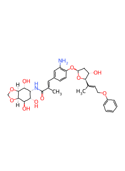 CC(=Cc1ccc(O[C@H]2C[C@H](O)[C@@H](C(C)=CCOc3ccccc3)O2)c(N)c1)C(=O)N[C@@H]1[C@H](O)[C@@H](O)[C@H]2OCO[C@H]2[C@@H]1O